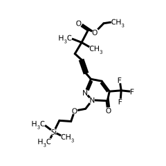 CCOC(=O)C(C)(C)CC#Cc1cc(C(F)(F)F)c(=O)n(COCC[Si](C)(C)C)n1